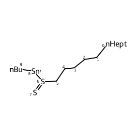 CCCCCCCCCCCC[S](=S)[Sn][CH2]CCC